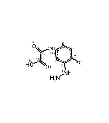 NNc1ccccc1Cl.O=C(O)C(=O)O